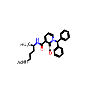 CC(=O)NCCCC(NC(=O)C1=CC=CN(C(c2ccccc2)c2ccccc2)C1=C=O)C(=O)O